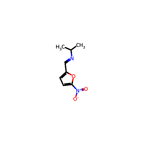 CC(C)/N=C/c1ccc([N+](=O)[O-])o1